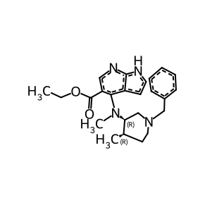 CCOC(=O)c1cnc2[nH]ccc2c1N(C)[C@H]1CN(Cc2ccccc2)CC[C@H]1C